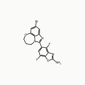 Nc1nc2c(F)c(-c3nc4cc(Br)cc5c4n3CCCO5)cc(F)c2o1